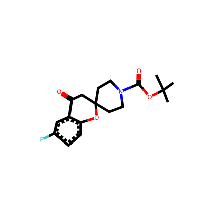 CC(C)(C)OC(=O)N1CCC2(CC1)CC(=O)c1cc(F)ccc1O2